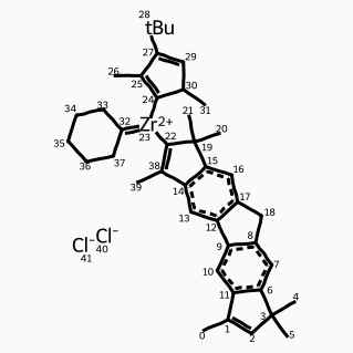 CC1=CC(C)(C)c2cc3c(cc21)-c1cc2c(cc1C3)C(C)(C)[C]([Zr+2]([C]1=C(C)C(C(C)(C)C)=CC1C)=[C]1CCCCC1)=C2C.[Cl-].[Cl-]